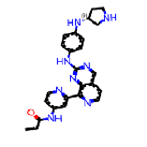 C=CC(=O)Nc1ccnc(-c2nccc3cnc(Nc4ccc(N[C@@H]5CCNC5)cc4)nc23)c1